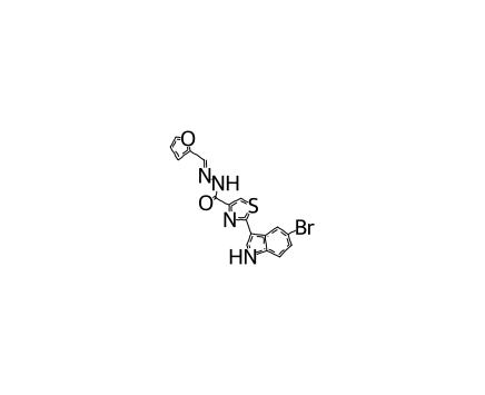 O=C(NN=Cc1ccco1)c1csc(-c2c[nH]c3ccc(Br)cc23)n1